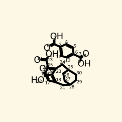 O=C(O)c1ccc(C(=O)O)cc1.O=C(O)c1ccc2c(C(=O)O)c1CC1CCC(CC1)C2